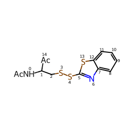 CC(=O)NC(CSSc1nc2ccccc2s1)C(C)=O